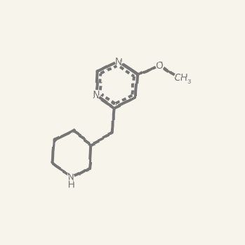 COc1cc(CC2CCCNC2)ncn1